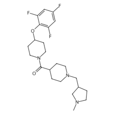 CN1CCC(CN2CCC(C(=O)N3CCC(Oc4c(F)cc(F)cc4F)CC3)CC2)C1